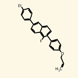 C=CCOc1ccc(-c2ccc3cc(-c4ccc(CC)cc4)ccc3c2F)cc1